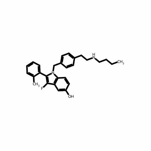 CCCCNCCc1ccc(Cn2c(-c3ccccc3C)c(F)c3cc(O)ccc32)cc1